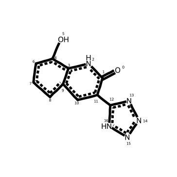 O=c1[nH]c2c(O)cccc2cc1-c1nnn[nH]1